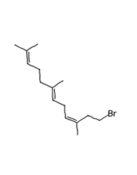 CC(C)=CCC/C(C)=C/C/C=C(/C)CCBr